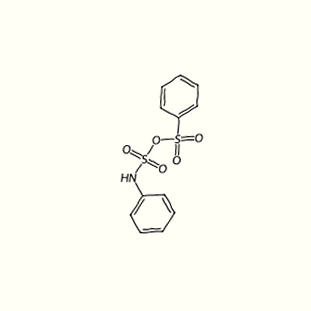 O=S(=O)(Nc1ccccc1)OS(=O)(=O)c1ccccc1